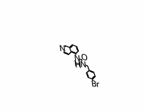 O=C(NCc1ccc(Br)cc1)Nc1cccc2cnccc12